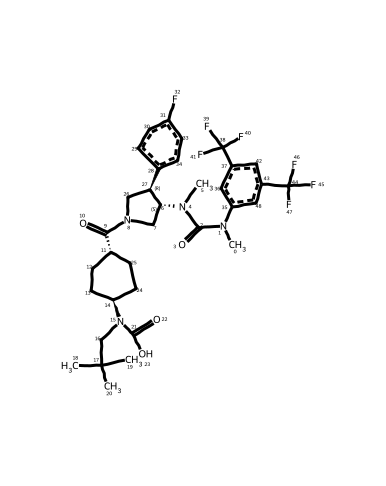 CN(C(=O)N(C)[C@@H]1CN(C(=O)[C@H]2CC[C@H](N(CC(C)(C)C)C(=O)O)CC2)C[C@H]1c1ccc(F)cc1)c1cc(C(F)(F)F)cc(C(F)(F)F)c1